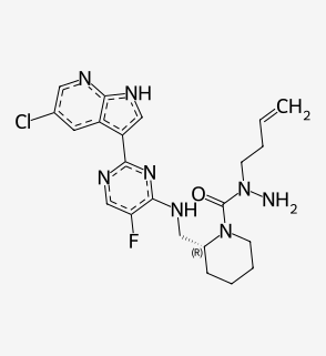 C=CCCN(N)C(=O)N1CCCC[C@@H]1CNc1nc(-c2c[nH]c3ncc(Cl)cc23)ncc1F